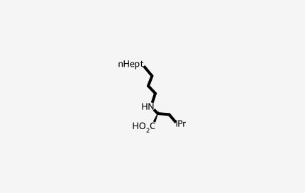 CCCCCCCCCCN[C@@H](CC(C)C)C(=O)O